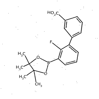 CC1(C)OB(c2cccc(-c3cccc(C(=O)O)c3)c2F)OC1(C)C